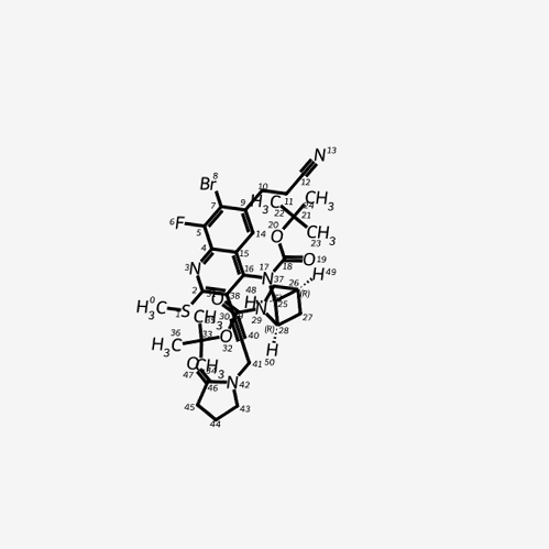 CSc1nc2c(F)c(Br)c(CCC#N)cc2c(N(C(=O)OC(C)(C)C)[C@H]2[C@@H]3C[C@H]2N(C(=O)OC(C)(C)C)C3)c1C#CCN1CCCC1=O